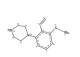 C=Cc1c(SC(C)(C)C)cccc1N1CCNCC1